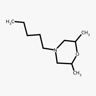 CCCCCN1CC(C)OC(C)C1